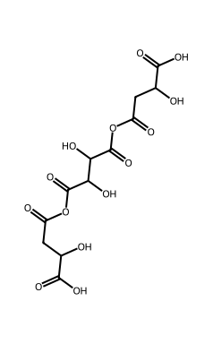 O=C(CC(O)C(=O)O)OC(=O)C(O)C(O)C(=O)OC(=O)CC(O)C(=O)O